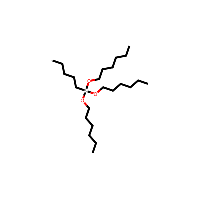 [CH2]CCCC[Si](OCCCCCC)(OCCCCCC)OCCCCCC